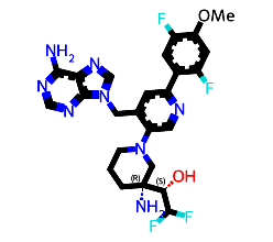 COc1cc(F)c(-c2cc(Cn3cnc4c(N)ncnc43)c(N3CCC[C@](N)([C@H](O)C(F)F)C3)cn2)cc1F